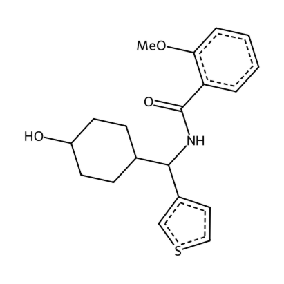 COc1ccccc1C(=O)NC(c1ccsc1)C1CCC(O)CC1